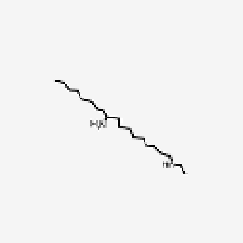 CCCCCCCCC(N)CCCCCCCCCNCC